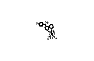 COC(=O)OC1(CCSC)N=CN(C2CCCCC2)C1CC1CCC(C(c2ccc(F)cc2)N(C)C)CC1